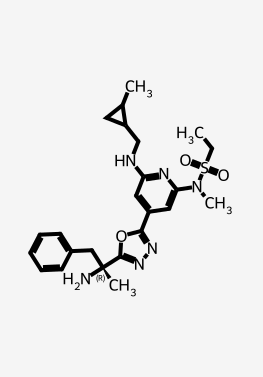 CCS(=O)(=O)N(C)c1cc(-c2nnc([C@](C)(N)Cc3ccccc3)o2)cc(NCC2CC2C)n1